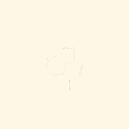 Cc1ccc2c3c(nccc13)C(=O)N2